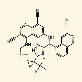 CC(C)(C)CNc1c(C#N)cnc2c(C#N)cc(NC(c3cn(C4(C(F)(F)F)CC4)nn3)c3cccc4cnc(C#N)cc34)cc12